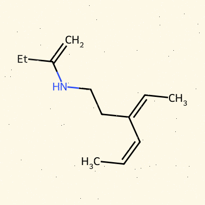 C=C(CC)NCCC(/C=C\C)=C/C